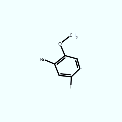 COc1c[c]c(I)cc1Br